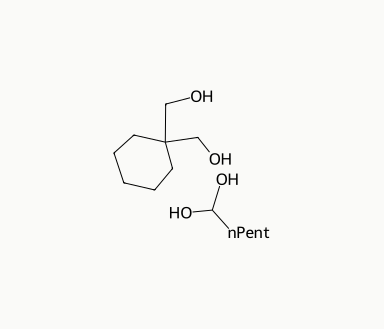 CCCCCC(O)O.OCC1(CO)CCCCC1